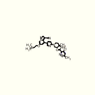 C=C(F)/C=C(Cl)\C(=N/C)C(=O)NC1(C)CCN(c2ccc(-c3cc(OCCN(C)C)cn4ncc(C#N)c34)cn2)CC1